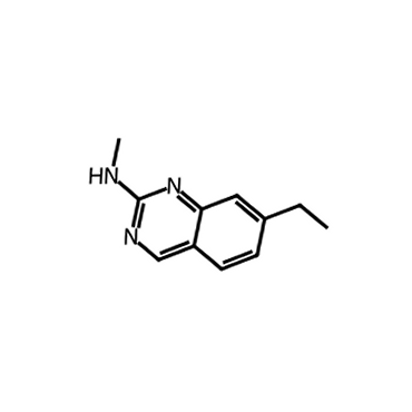 CCc1ccc2cnc(NC)nc2c1